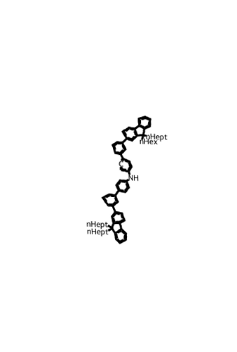 CCCCCCCC1(CCCCCC)c2ccccc2-c2ccc(-c3cccc(-c4ccc(Nc5ccc(-c6cccc(-c7ccc8c(c7)C(CCCCCCC)(CCCCCCC)c7ccccc7-8)c6)cc5)cc4)c3)cc21